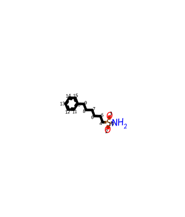 NS(=O)(=O)CCCCCCc1ccccc1